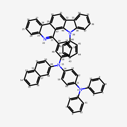 c1ccc(N(c2ccccc2)c2ccc(N(c3cccc(-c4nc5ccccc5c5ccc6c7ccccc7n(-c7ccccc7)c6c45)c3)c3ccc4ccccc4c3)cc2)cc1